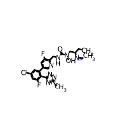 C/C=N\C(CC)CN(O)C(=O)NCc1ncc(-c2cc(Cl)cc(F)c2-c2nnn(C)n2)cc1F